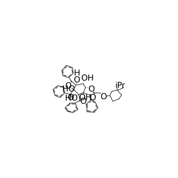 CC(C)C1(C)CCCC(OCC(=O)O[C@H]2[C@@H](O)[C@](O)(C(=O)c3ccccc3)[C@@](O)(C(=O)c3ccccc3)[C@](O)(C(=O)c3ccccc3)[C@@]2(O)Cc2ccccc2)C1